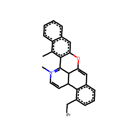 Cc1c2c(cc3ccccc13)OC1=Cc3cccc(CC(C)C)c3C3C=C[N+](C)=C2C13